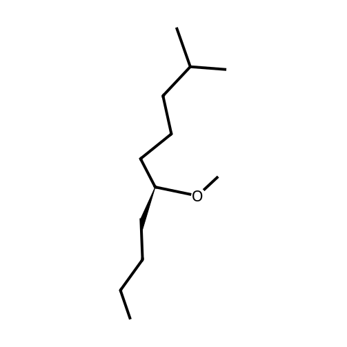 CCCC[C@@H](CCCC(C)C)OC